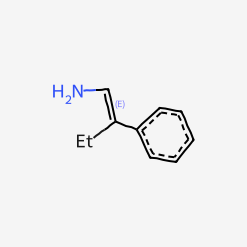 CC/C(=C\N)c1ccccc1